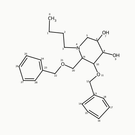 CCCCN1CC(O)C(O)C(OCc2ccccc2)C1COCc1ccccc1